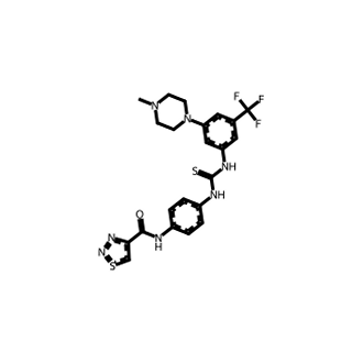 CN1CCN(c2cc(NC(=S)Nc3ccc(NC(=O)c4csnn4)cc3)cc(C(F)(F)F)c2)CC1